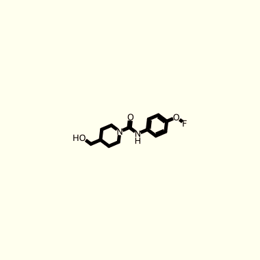 O=C(Nc1ccc(OF)cc1)N1CCC(CO)CC1